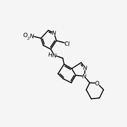 O=[N+]([O-])c1cnc(Cl)c(NCc2cccc3c2cnn3C2CCCCO2)c1